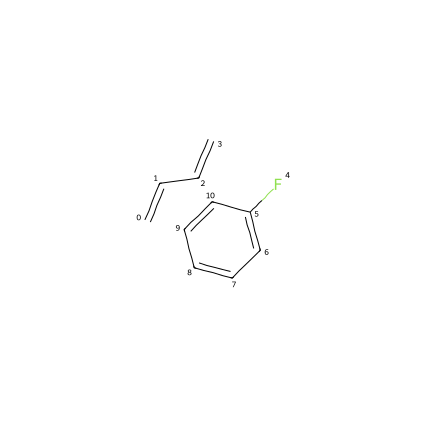 C=CC=C.Fc1ccccc1